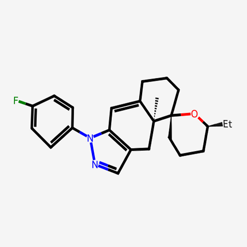 CC[C@H]1CCC[C@@]2(CCCC3=Cc4c(cnn4-c4ccc(F)cc4)C[C@@]32C)O1